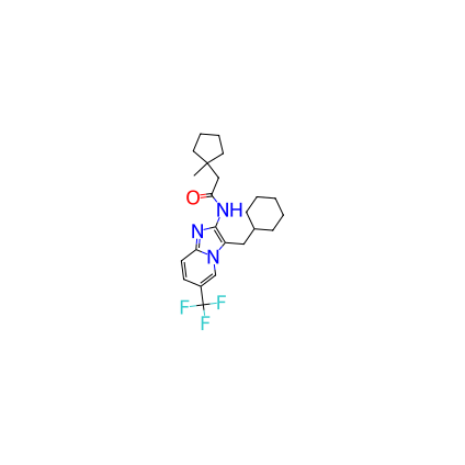 CC1(CC(=O)Nc2nc3ccc(C(F)(F)F)cn3c2CC2CCCCC2)CCCC1